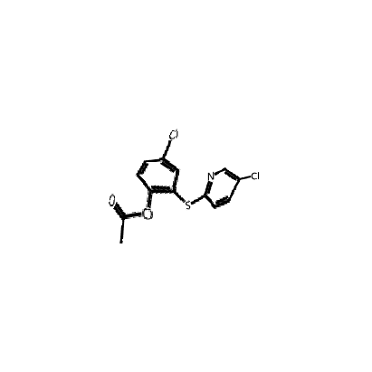 CC(=O)Oc1ccc(Cl)cc1Sc1ccc(Cl)cn1